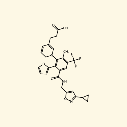 Cc1c(C(F)(F)F)cc(C(=O)NCc2cc(C3CC3)no2)c(-c2ccco2)c1N1C=C(CCC(=O)O)C=CC1